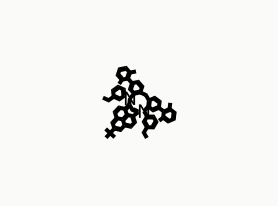 CCc1cccc(N2c3cc(-c4c(C)cccc4C)ccc3Cc3ccc(-c4c(C)cccc4C)cc3N(c3cccc(CC)c3)c3cc2c2ccc4cc(C(C)(C)C)cc5ccc3c2c45)c1